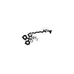 NC(=O)C(c1ccccc1)(c1ccccc1)[C@H]1CCN(CCCCCCCCNC2CC2)C1